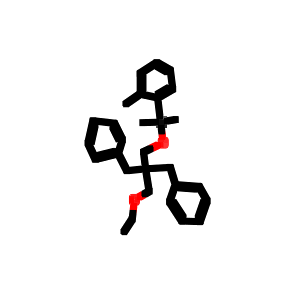 CCOCC(CO[Si](C)(C)c1ccccc1C)(Cc1ccccc1)Cc1ccccc1